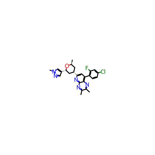 Cc1nc2nc([C@H]3C[C@H](C)O[C@@H](c4cnn(C)c4)C3)cc(-c3ccc(Cl)cc3F)c2nc1C